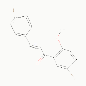 COc1ccc(Br)cc1C(=O)/C=C/c1ccc(Br)cc1